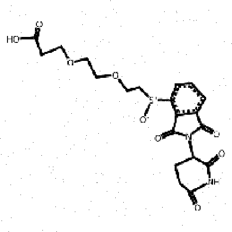 O=C(O)CCOCCOCC[S+]([O-])c1cccc2c1C(=O)N(C1CCC(=O)NC1=O)C2=O